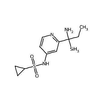 CCC(N)([SiH3])c1cc(NS(=O)(=O)C2CC2)ccn1